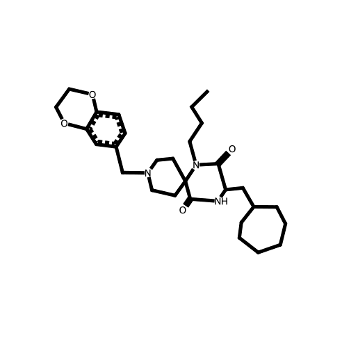 CCCCN1C(=O)C(CC2CCCCCC2)NC(=O)C12CCN(Cc1ccc3c(c1)OCCO3)CC2